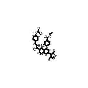 CCOC(=O)c1cccc(Nc2c(C(=O)NCc3ccc(NC(C)=O)cc3)cnc3cc(-c4c(C)noc4C)ccc23)c1